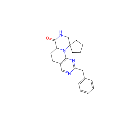 O=C1NCC2(CCCC2)N2c3nc(Cc4ccccc4)ncc3CCC12